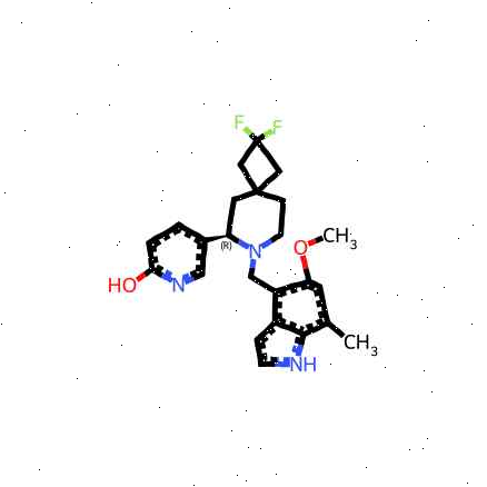 COc1cc(C)c2[nH]ccc2c1CN1CCC2(C[C@@H]1c1ccc(O)nc1)CC(F)(F)C2